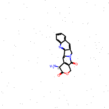 N[C@@H]1C(=O)OCc2c1cc1n(c2=O)Cc2cc3ccccc3nc2-1